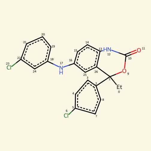 CCC1(c2ccc(Cl)cc2)OC(=O)Nc2ccc(Nc3cccc(Cl)c3)cc21